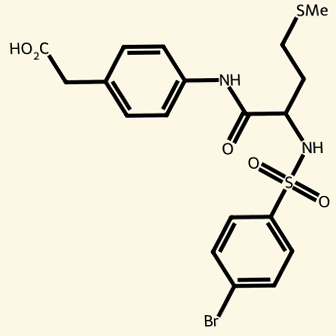 CSCCC(NS(=O)(=O)c1ccc(Br)cc1)C(=O)Nc1ccc(CC(=O)O)cc1